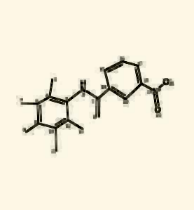 C=C(Nc1c(C)c(C)c(C)c(C)c1C)c1cccc([N+](=O)[O-])c1